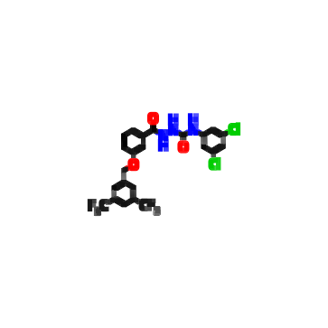 O=C(NNC(=O)c1cccc(OCc2cc(C(F)(F)F)cc(C(F)(F)F)c2)c1)Nc1cc(Cl)cc(Cl)c1